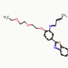 C/C=C/C=Nc1cc(-c2nc3ccccc3s2)ccc1OCCOCCOCC